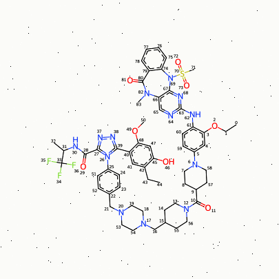 CCOc1cc(N2CCC(C(=O)N3CCC(CN4CCN(Cc5ccc(-n6c(C(=O)NC(C)C(F)(F)F)nnc6-c6cc(CC)c(O)cc6OC)cc5)CC4)CC3)CC2)ccc1Nc1ncc2c(n1)N(S(C)(=O)=O)c1ccccc1C(=O)N2C